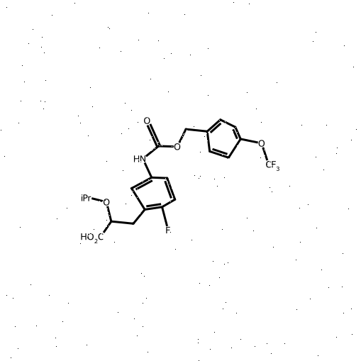 CC(C)OC(Cc1cc(NC(=O)OCc2ccc(OC(F)(F)F)cc2)ccc1F)C(=O)O